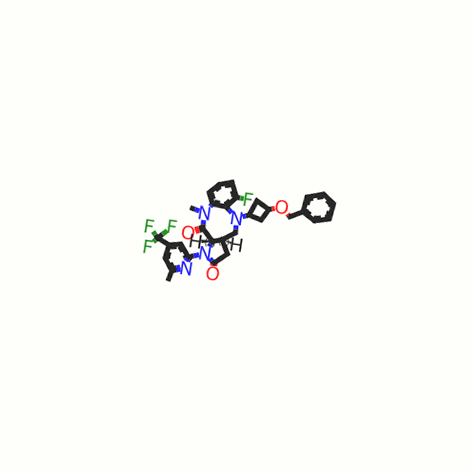 Cc1cc(C(F)(F)F)cc(N2C(=O)C[C@@H]3CN(C4CC(OCc5ccccc5)C4)c4c(F)cccc4N(C)C(=O)[C@H]32)n1